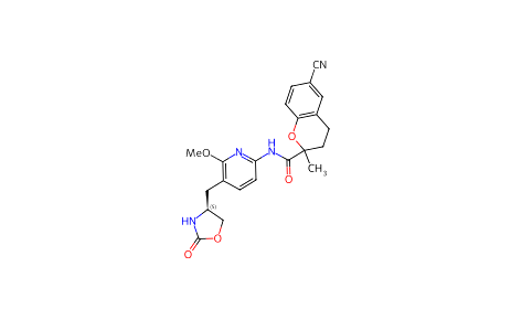 COc1nc(NC(=O)C2(C)CCc3cc(C#N)ccc3O2)ccc1C[C@H]1COC(=O)N1